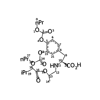 CCCOC(=O)Oc1ccc(C[C@H](NCC(C)OC(=O)CC(C)C)C(=O)O)cc1OC(=O)OCCC